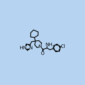 NC(Cc1ccc(Cl)cc1)C(=O)N1CCC(Cc2c[nH]cn2)(C2CCCCC2)CC1